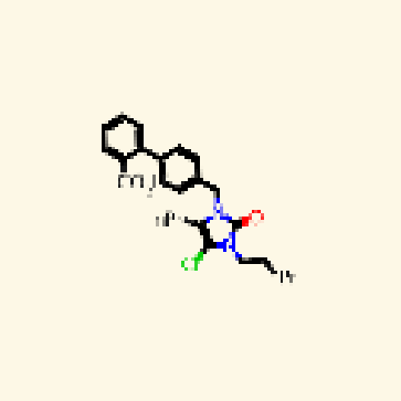 CCCc1c(Cl)n(CCC(C)C)c(=O)n1Cc1ccc(-c2ccccc2C(=O)O)cc1